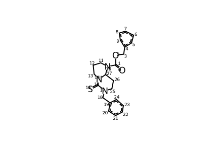 O=C(OCc1ccccc1)N1CCCN2C(=S)N(Cc3ccccc3)CCC12